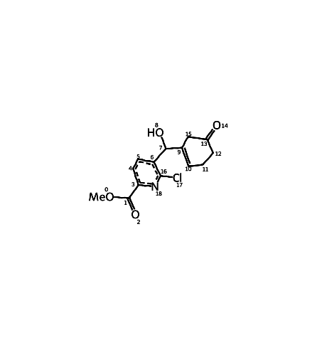 COC(=O)c1ccc(C(O)C2=CCCC(=O)C2)c(Cl)n1